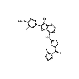 CCn1c(-c2cnc(OC)c(C)c2)nc2c(N[C@H]3CCN(C(=O)c4cncn4C)C3)ncnc21